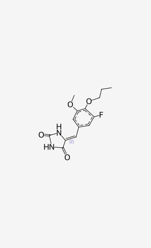 CCCOc1c(F)cc(/C=C2\NC(=O)NC2=O)cc1OC